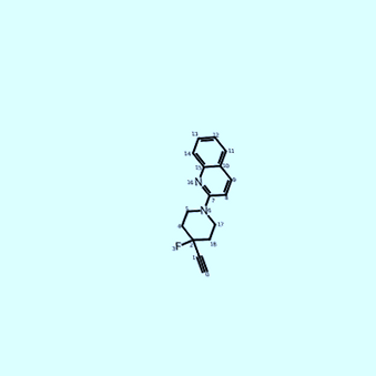 C#CC1(F)CCN(c2ccc3ccccc3n2)CC1